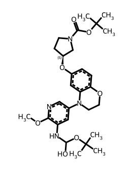 COc1ncc(N2CCOc3ccc(O[C@H]4CCN(C(=O)OC(C)(C)C)C4)cc32)cc1NC(O)OC(C)(C)C